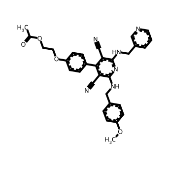 COc1ccc(CNc2nc(NCc3cccnc3)c(C#N)c(-c3ccc(OCCOC(C)=O)cc3)c2C#N)cc1